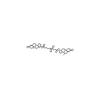 C[C@@H]1CC2=CC(=O)CC[C@]2(C)C2CC[C@@]3(C)C(CC[C@@H]3OC(=O)CCC(=O)NCCCCC(=O)O[C@@H]3CCC4C5C(CC[C@]43C)[C@]3(C)CCC(=O)C=C3C[C@@H]5C)C21